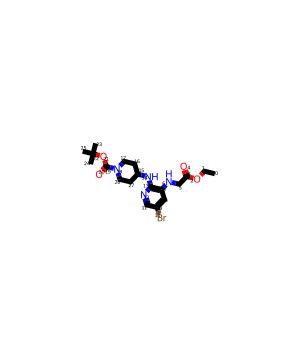 CCOC(=O)CNc1cc(Br)cnc1NC1CCN(C(=O)OC(C)(C)C)CC1